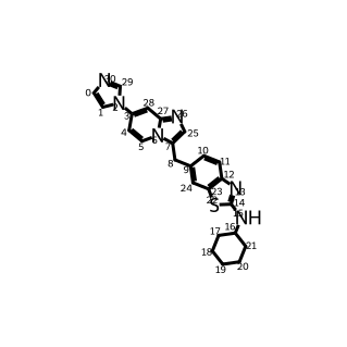 c1cn(-c2ccn3c(Cc4ccc5nc(NC6CCCCC6)sc5c4)cnc3c2)cn1